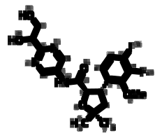 COc1c([C@@H]2C[C@](C)(C(F)(F)F)O[C@H]2C(=O)Nc2cnc(C(O)CO)nc2)ccc(F)c1F